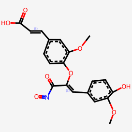 COc1cc(/C=C(\Oc2ccc(/C=C/C(=O)O)cc2OC)C(=O)N=O)ccc1O